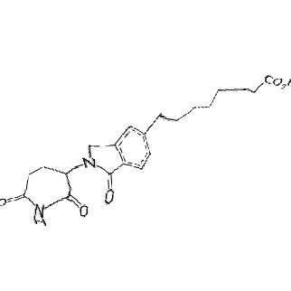 O=C(O)CCCCCCc1ccc2c(c1)CN(C1CCC(=O)NC1=O)C2=O